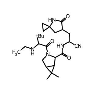 CC(C)(C)C(NCC(F)(F)F)C(=O)N1CC2C(C1C(=O)NC(C#N)CC1CC3(CC3)NC1=O)C2(C)C